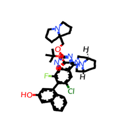 CC(C)(C)OC(=O)N1C[C@H]2CC[C@@H](C1)N2c1nc(OCC23CCCN2CCC3)nc2c(F)c(-c3cc(O)cc4ccccc34)c(Cl)cc12